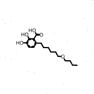 CCCCOCCCCCCc1ccc(O)c(O)c1C(=O)O